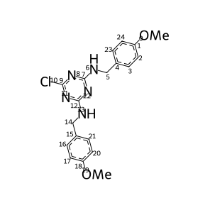 COc1ccc(CNc2nc(Cl)nc(NCc3ccc(OC)cc3)n2)cc1